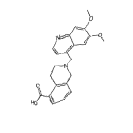 COc1cc2nccc(CN3CCc4c(cccc4C(=O)O)C3)c2cc1OC